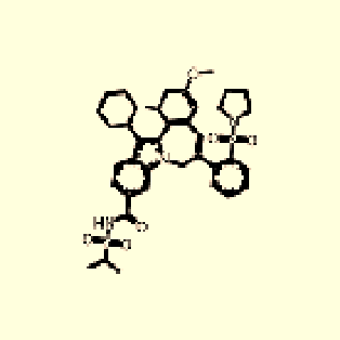 COC1=CC2=C(c3c(C4CCCCC4)c4ccc(C(=O)NS(=O)(=O)C(C)C)cc4n3CC(c3ccccc3S(=O)(=O)N3CCCC3)=C2)C(C)C1